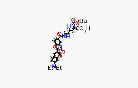 CCN(CC)c1ccc2cc(-c3nc4cc(C(=O)NCCCCC(NC(=O)OC(C)(C)C)C(=O)O)ccc4o3)c(=O)oc2c1